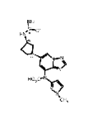 Cn1ccc(N(C(=O)O)c2cc([C@H]3CC[C@@H](N[S@+]([O-])C(C)(C)C)C3)cn3ncnc23)n1